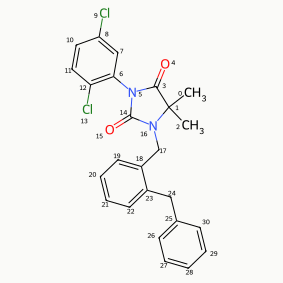 CC1(C)C(=O)N(c2cc(Cl)ccc2Cl)C(=O)N1Cc1ccccc1Cc1ccccc1